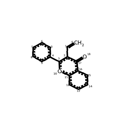 C=Cc1c(-c2ccccc2)oc2ccccc2c1=O